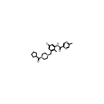 Cc1cnc(C(=O)Nc2cc(F)cc(CN3CCN(C(=O)C4CCCC4)CC3)c2C)cn1